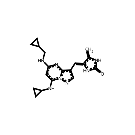 C=c1[nH]c(=O)[nH]/c1=C\c1cnn2c(NC3CC3)cc(NCC3CC3)nc12